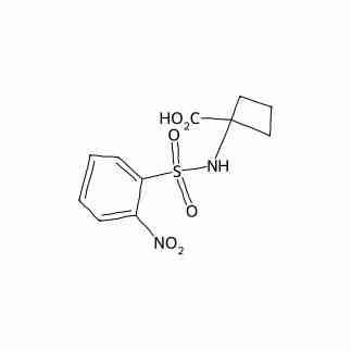 O=C(O)C1(NS(=O)(=O)c2ccccc2[N+](=O)[O-])CCC1